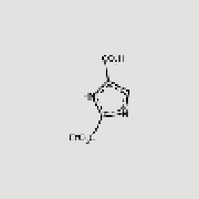 CCOC(=O)c1ncc(C(=O)O)[nH]1